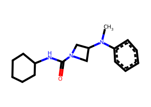 CN(c1ccccc1)C1CN(C(=O)NC2CCCCC2)C1